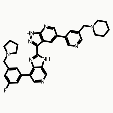 Fc1cc(CN2CCCC2)cc(-c2cncc3[nH]c(-c4n[nH]c5ncc(-c6cncc(CN7CCCCC7)c6)cc45)nc23)c1